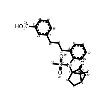 CC1(C)C2CCC1(N(c1ccccc1CCCc1cccc(C(=O)O)c1)S(C)(=O)=O)C(=O)C2